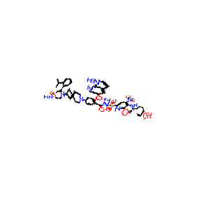 CC(C)c1ccccc1[C@@H]1CS(=N)(=O)CCN1C1CC2(CCN(c3ccc(C(=O)NS(=O)(=O)c4cc([N+](=O)[O-])c5c(n4)OC[C@H]([C@H]4CC[C@](C)(O)CC4)N5)c(Oc4cnc5[nH]ccc5c4)c3)CC2)C1